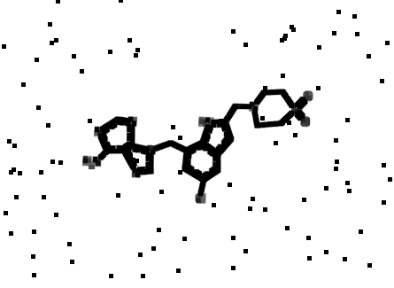 Nc1ncnc2c1ncn2Cc1cc(Cl)cc2cc(CN3CCS(=O)(=O)CC3)[nH]c12